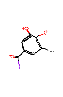 CC(C)(C)c1cc(C(=O)I)cc(O)c1O